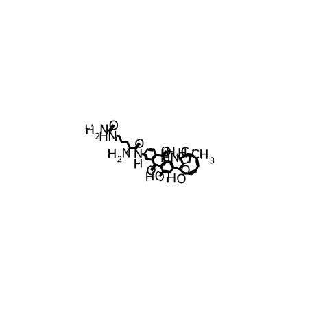 CC(C)C[C@@]12O[C@]13c1cc(O)c4c(c1N[C@H]2C#C/C=C\C#C[C@H]3O)C(=O)c1ccc(NC(=O)[C@@H](N)CCCNC(N)=O)cc1C4=O